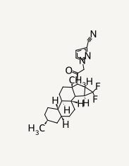 C[C@H]1CC[C@H]2[C@H](CC[C@H]3C4[C@H]5[C@@H]([C@H](C(=O)Cn6ccc(C#N)n6)[C@@]4(C)CC[C@H]23)C5(F)F)C1